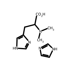 CN(C)C(Cc1c[nH]cn1)C(=O)O.c1c[nH]cn1